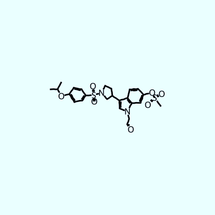 CC(C)Oc1ccc(S(=O)(=O)N2CCC(c3cn(CC=O)c4cc(OS(C)(=O)=O)ccc34)C2)cc1